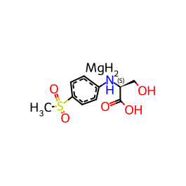 CS(=O)(=O)c1ccc(N[C@@H](CO)C(=O)O)cc1.[MgH2]